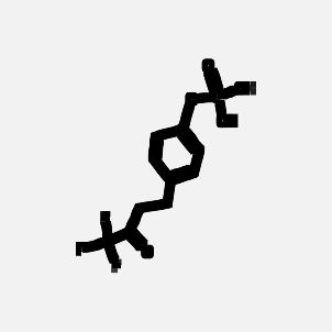 O=C(CCc1ccc(OP(=O)(O)O)cc1)C(F)(F)F